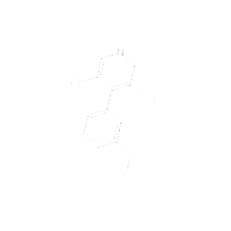 COc1cccc(-c2c(C)cncc2Cl)c1